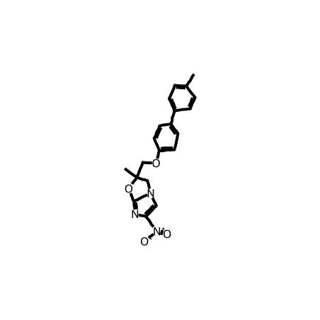 Cc1ccc(-c2ccc(OCC3(C)Cn4cc([N+](=O)[O-])nc4O3)cc2)cc1